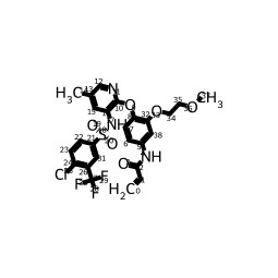 C=CC(=O)Nc1ccc(Oc2ncc(C)cc2NS(=O)(=O)c2ccc(Cl)c(C(F)(F)F)c2)c(OCCOC)c1